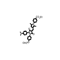 CCOC(=O)c1ccc(-n2c(C)cc(C=C3C(=O)N(c4ccc(OC=O)cc4)N(c4ccc(N(C)C)cc4)C3=O)c2C)cc1